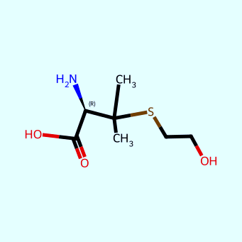 CC(C)(SCCO)[C@H](N)C(=O)O